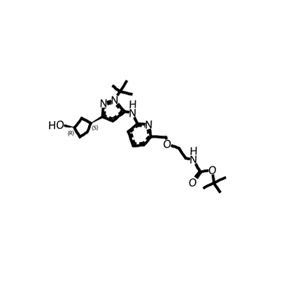 CC(C)(C)OC(=O)NCCOCc1cccc(Nc2cc([C@H]3CC[C@@H](O)C3)nn2C(C)(C)C)n1